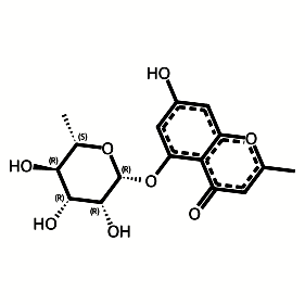 Cc1cc(=O)c2c(O[C@H]3O[C@@H](C)[C@H](O)[C@@H](O)[C@H]3O)cc(O)cc2o1